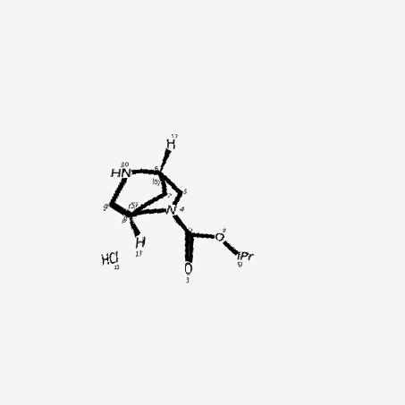 CC(C)OC(=O)N1C[C@@H]2C[C@H]1CN2.Cl